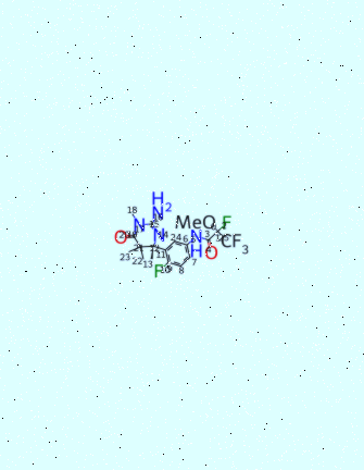 COC(F)(C(=O)Nc1ccc(F)c([C@@]2(C)N=C(N)N(C)C(=O)C2(C)C)c1)C(F)(F)F